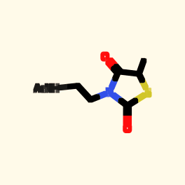 CC(=O)NCCN1C(=O)SC(C)C1=O